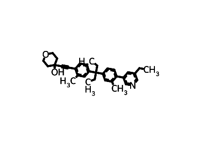 CCc1cncc(-c2ccc(C(CC)(CC)c3ccc(C#CC4(O)CCOCC4)c(C)c3)cc2C)c1